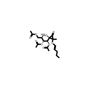 CCCC=COC1(C)C(=O)[C@@]1(O)[C@@H](OC(C)=O)[C@H](OC(C)=O)[C@H](O)COC(C)=O